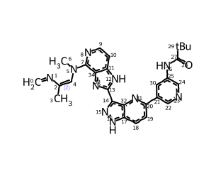 C=N/C(C)=C\N(C)c1nccc2[nH]c(-c3n[nH]c4ccc(-c5cncc(NC(=O)C(C)(C)C)c5)nc34)nc12